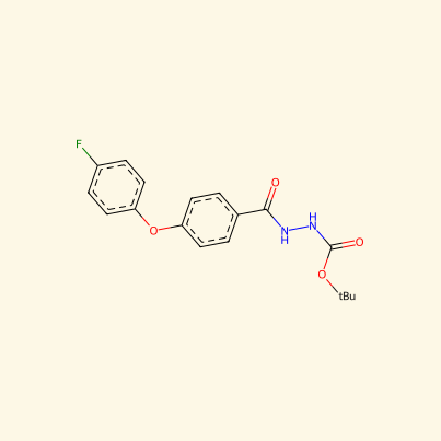 CC(C)(C)OC(=O)NNC(=O)c1ccc(Oc2ccc(F)cc2)cc1